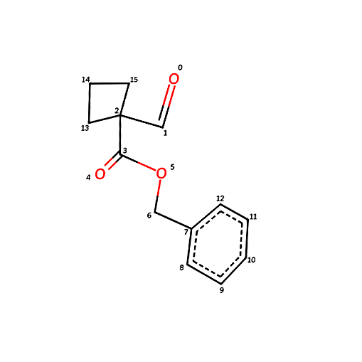 O=CC1(C(=O)OCc2ccccc2)CCC1